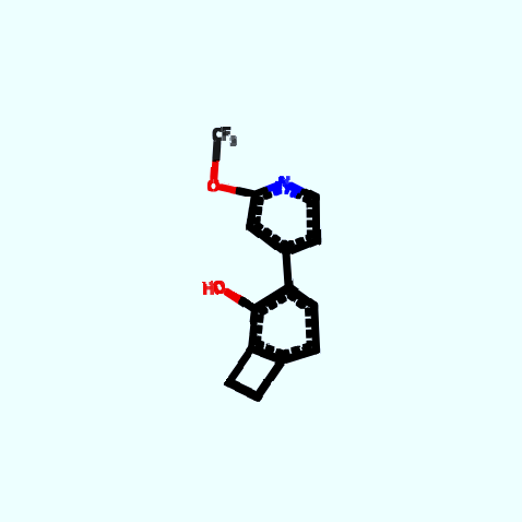 Oc1c(-c2ccnc(OC(F)(F)F)c2)ccc2c1CC2